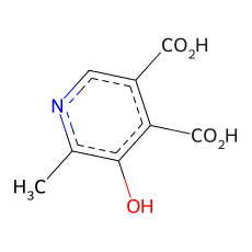 Cc1ncc(C(=O)O)c(C(=O)O)c1O